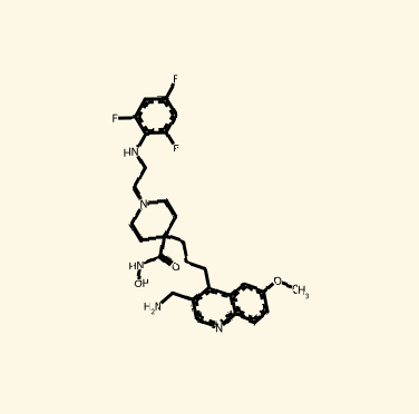 COc1ccc2ncc(CN)c(CCCC3(C(=O)NO)CCN(CCNc4c(F)cc(F)cc4F)CC3)c2c1